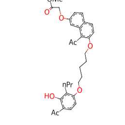 CCCc1c(OCCCCCOc2ccc3ccc(OCC(=O)OC)cc3c2C(C)=O)ccc(C(C)=O)c1O